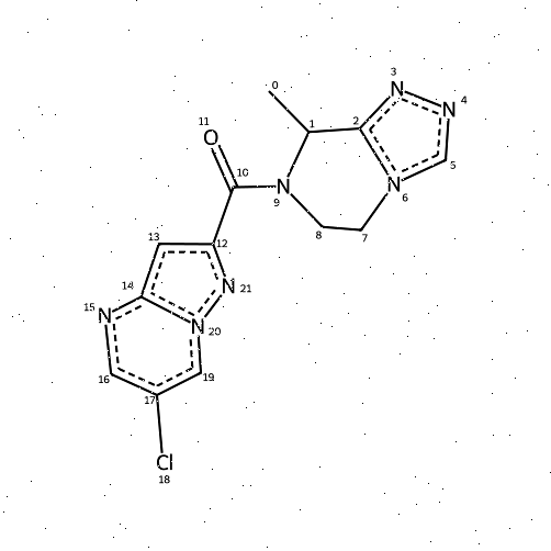 CC1c2nncn2CCN1C(=O)c1cc2ncc(Cl)cn2n1